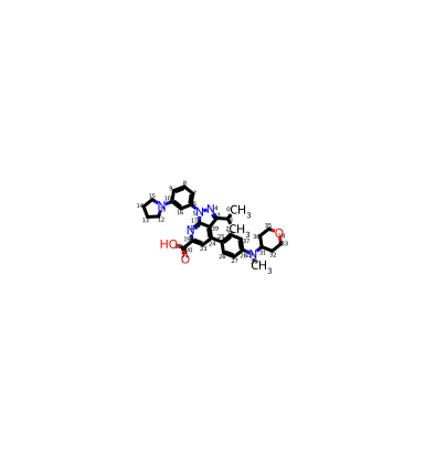 CC(C)c1nn(-c2cccc(N3CCCC3)c2)c2nc(C(=O)O)cc(-c3ccc(N(C)C4CCOCC4)cc3)c12